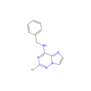 Clc1nc(NCc2ccccc2)c2nccn2n1